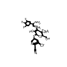 N#Cc1ncc(SC2OC(CO)C(O)C(N/C=C(\N)c3cc(F)c(F)c(F)c3)C2O)cc1Cl